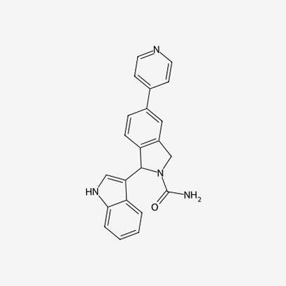 NC(=O)N1Cc2cc(-c3ccncc3)ccc2C1c1c[nH]c2ccccc12